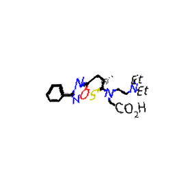 CCN(CC)CCN(CC(=O)O)C(=S)[C@@H](C)Cc1nc(-c2ccccc2)no1